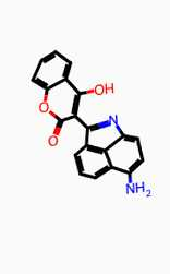 Nc1ccc2c3c(cccc13)C(c1c(O)c3ccccc3oc1=O)=N2